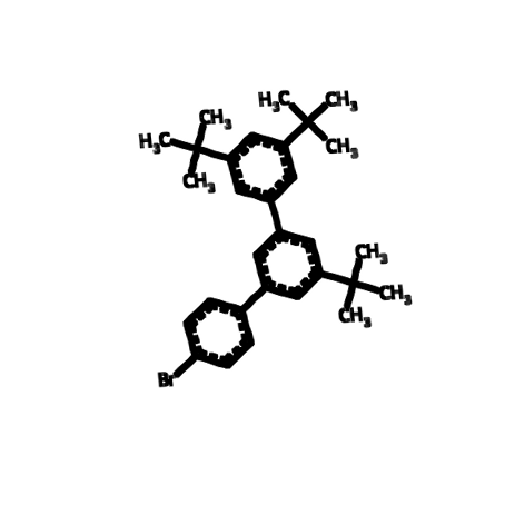 CC(C)(C)c1cc(-c2ccc(Br)cc2)cc(-c2cc(C(C)(C)C)cc(C(C)(C)C)c2)c1